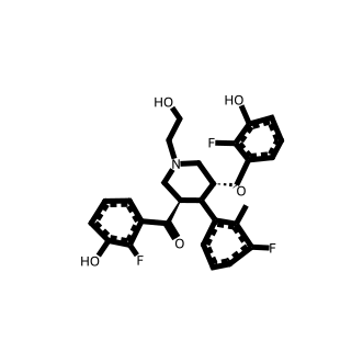 Cc1c(F)cccc1C1[C@@H](C(=O)c2cccc(O)c2F)CN(CCO)C[C@@H]1C(=O)c1cccc(O)c1F